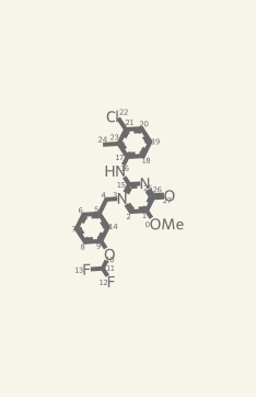 COc1cn(Cc2cccc(OC(F)F)c2)c(Nc2cccc(Cl)c2C)nc1=O